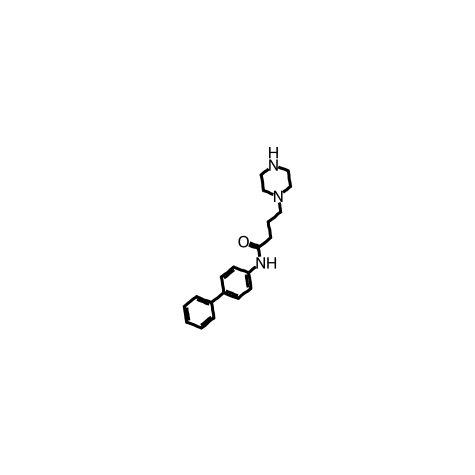 O=C(CCCN1CCNCC1)Nc1ccc(-c2ccccc2)cc1